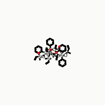 C=C[Si](C)(C)O[Si](O[Si](C)(C)C=C)(O[Si](O[Si](C)(C)C=C)(O[Si](O[Si](C)(C)C=C)(O[Si](O[Si](C)(C)C=C)(O[Si](C)(C)C=C)c1ccccc1)c1ccccc1)c1ccccc1)c1ccccc1